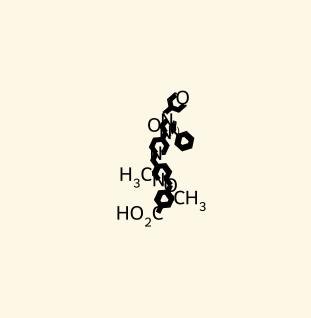 Cc1cc(C(=O)O)ccc1Oc1ccc(CN2CCC(N3C(=O)N(CC4CCOCC4)C[C@H]3c3ccccc3)CC2)c(C)n1